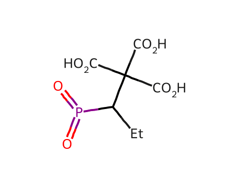 CCC(P(=O)=O)C(C(=O)O)(C(=O)O)C(=O)O